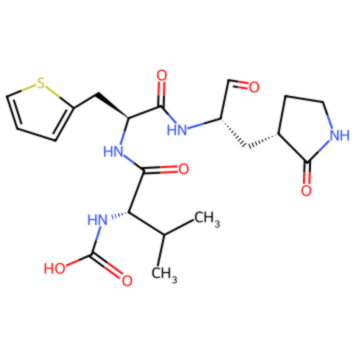 CC(C)[C@H](NC(=O)O)C(=O)N[C@@H](Cc1cccs1)C(=O)N[C@H](C=O)C[C@@H]1CCNC1=O